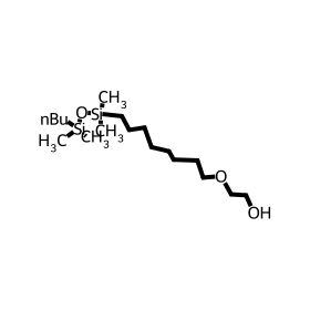 CCCC[Si](C)(C)O[Si](C)(C)CCCCCCCCOCCO